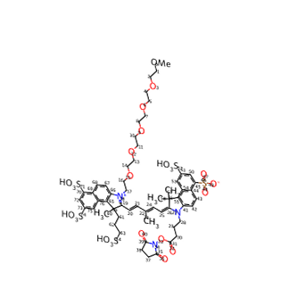 COCCOCCOCCOCCOCCOCC[N+]1=C(/C=C/C(C)=C/C=C2/N(CCCC(=O)ON3C(=O)CCC3=O)c3ccc4c(S(=O)(=O)[O-])cc(S(=O)(=O)O)cc4c3C2(C)C)C(C)(CCCS(=O)(=O)O)c2c1ccc1c(S(=O)(=O)O)cc(S(=O)(=O)O)cc21